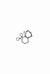 O=S1(=O)CCCc2[c]ccnc21